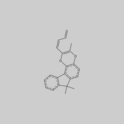 C=C/C=C\C1=C(C)Oc2ccc3c(c2O1)-c1ccccc1C3(C)C